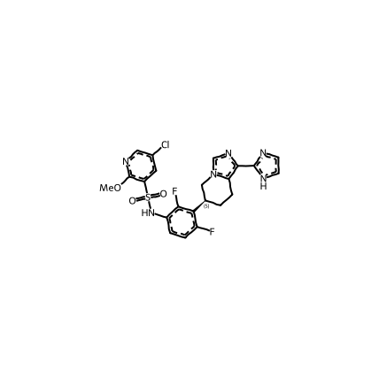 COc1ncc(Cl)cc1S(=O)(=O)Nc1ccc(F)c([C@@H]2CCc3c(-c4ncc[nH]4)ncn3C2)c1F